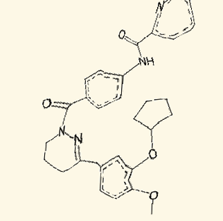 COc1ccc(C2=NN(C(=O)c3ccc(NC(=O)c4ccccn4)cc3)CCC2)cc1OC1CCCC1